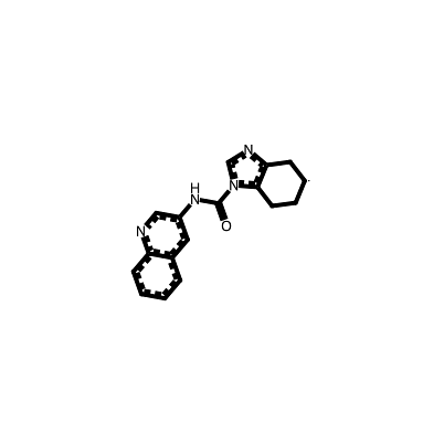 O=C(Nc1cnc2ccccc2c1)n1cnc2c1CC[CH]C2